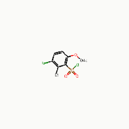 CCc1c(Br)ccc(OOC(C)=O)c1S(=O)(=O)Cl